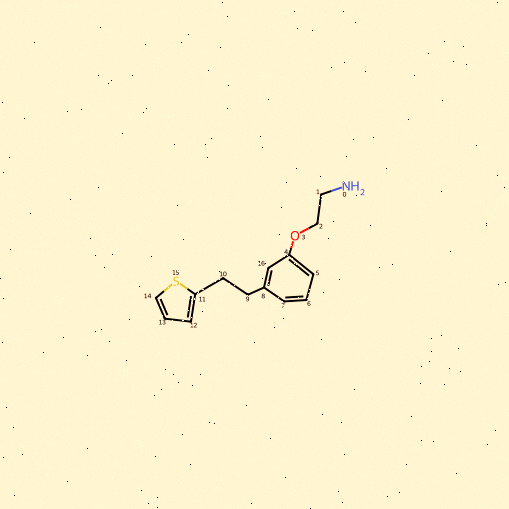 NCCOc1cccc(CCc2cccs2)c1